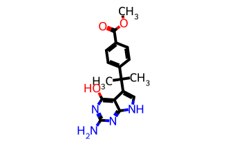 COC(=O)c1ccc(C(C)(C)c2c[nH]c3nc(N)nc(O)c23)cc1